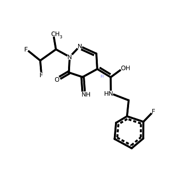 CC(C(F)F)N1N=C/C(=C(\O)NCc2ccccc2F)C(=N)C1=O